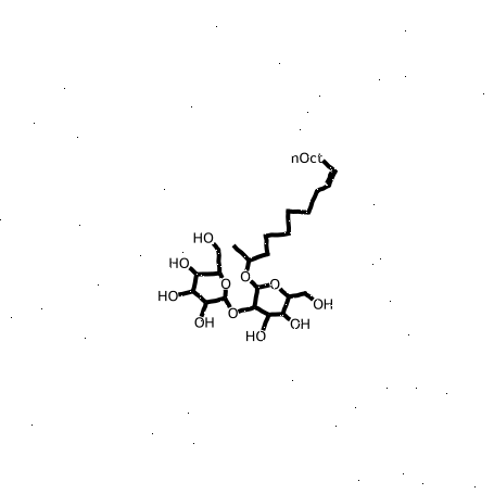 CCCCCCCC/C=C\CCCCCCC(C)OC1OC(CO)C(O)C(O)C1OC1OC(CO)C(O)C(O)C1O